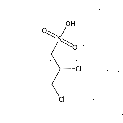 O=S(=O)(O)CC(Cl)CCl